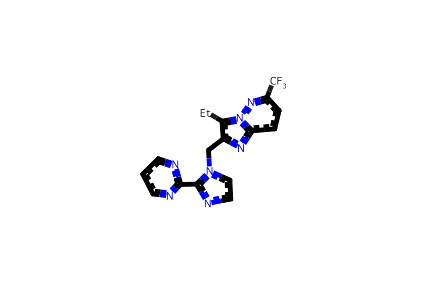 CCc1c(Cn2ccnc2-c2ncccn2)nc2ccc(C(F)(F)F)nn12